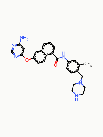 Nc1cc(Oc2ccc3c(C(=O)Nc4ccc(CN5CCNCC5)c(C(F)(F)F)c4)cccc3c2)ncn1